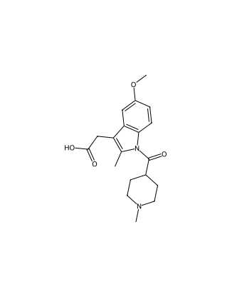 COc1ccc2c(c1)c(CC(=O)O)c(C)n2C(=O)C1CCN(C)CC1